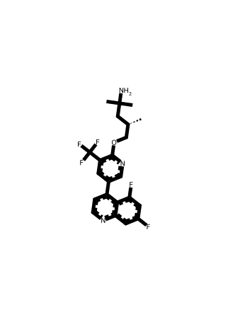 C[C@H](COc1ncc(-c2ccnc3cc(F)cc(F)c23)cc1C(F)(F)F)CC(C)(C)N